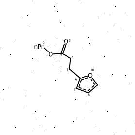 CCCOC(=O)CCc1ccco1